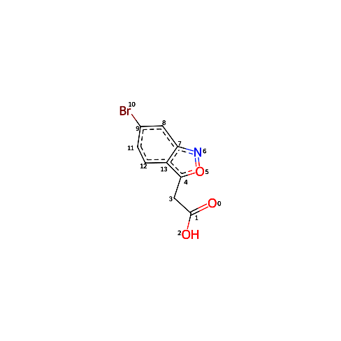 O=C(O)Cc1onc2cc(Br)ccc12